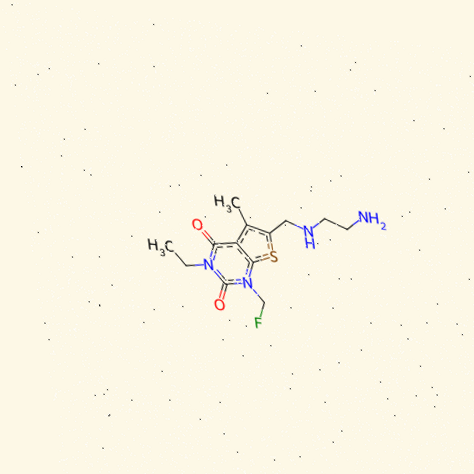 CCn1c(=O)c2c(C)c(CNCCN)sc2n(CF)c1=O